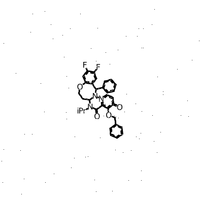 CC(C)N1C(=O)c2c(OCc3ccccc3)c(=O)ccn2N2C(c3ccccc3)c3cc(F)c(F)cc3OCCC12